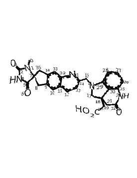 CN1C(=O)NC(=O)[C@]12Cc1cc3ccc(CN4CC5(CC(=O)O)CC(=O)Nc6cccc4c65)nc3cc1C2